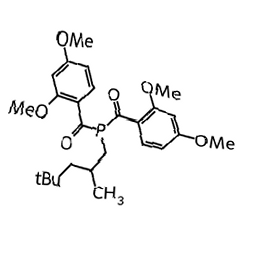 COc1ccc(C(=O)P(CC(C)CC(C)(C)C)C(=O)c2ccc(OC)cc2OC)c(OC)c1